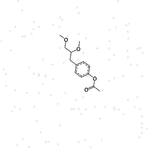 COCC(Cc1ccc(OC(C)=O)cc1)OC